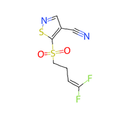 N#Cc1cnsc1S(=O)(=O)CCC=C(F)F